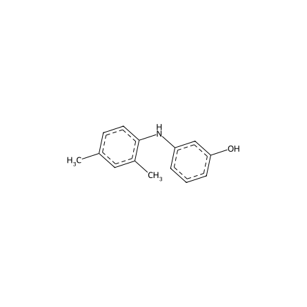 Cc1ccc(Nc2cccc(O)c2)c(C)c1